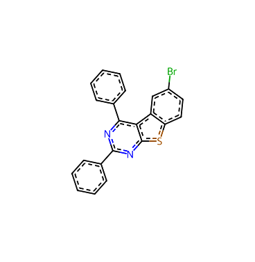 Brc1ccc2sc3nc(-c4ccccc4)nc(-c4ccccc4)c3c2c1